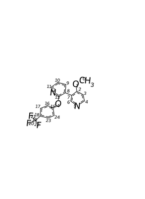 COc1ccncc1-c1cccnc1Oc1ccc(C(F)(F)F)cc1